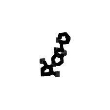 Clc1cccc(Cl)c1N1CCc2oc(-c3ccccn3)nc2C1